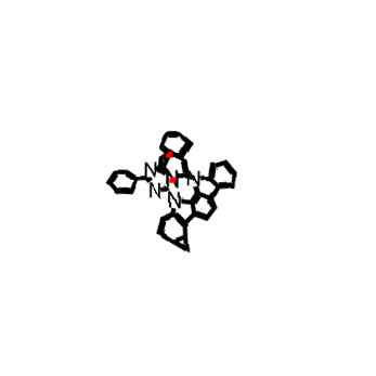 C1=CC2CC2c2c1n(-c1nc(-c3ccccc3)nc(-c3ccccc3)n1)c1c2ccc2c3ccccc3n(-c3ccccn3)c21